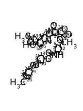 CCC1(OCc2ccc(NC(=O)OC3CCC[C@@H](OOC4CC5CC(C)CC(C5)C4)C3)cc2)C(=O)OCc2c1cc1n(c2=O)Cc2cc3c(CN(C)C)c(O)ccc3nc2-1